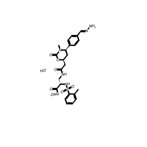 COC(=O)[C@H](CNC(=O)C[C@@H]1C[C@H](c2ccc(C=NN)cc2)N(C)C(=O)O1)NS(=O)(=O)c1ccccc1C.Cl